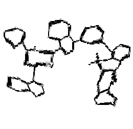 CC1(C)c2cc3ccccc3cc2-c2cccc(-c3cccc(-c4ccc(-c5nc(-c6ccccc6)cc(-c6cccc7ccccc67)n5)c5ccccc45)c3)c21